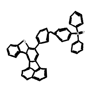 O=P(c1ccccc1)(c1ccccc1)c1ccc(-c2cccc(-c3cc4c(c5c3oc3ccccc35)-c3cccc5cccc-4c35)c2)cc1